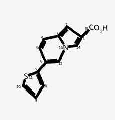 O=C(O)c1cc2ccc(-c3cccs3)cn2c1